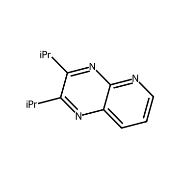 CC(C)c1nc2cccnc2nc1C(C)C